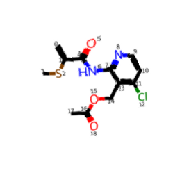 C=C(SC)C(=O)Nc1nccc(Cl)c1COC(C)=O